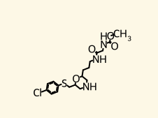 COC(=O)NCC(=O)NCCCC1CNCC(CSc2ccc(Cl)cc2)O1